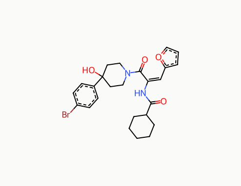 O=C(NC(=Cc1ccco1)C(=O)N1CCC(O)(c2ccc(Br)cc2)CC1)C1CCCCC1